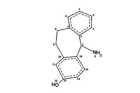 NC1c2ccccc2CCc2cc(O)ccc21